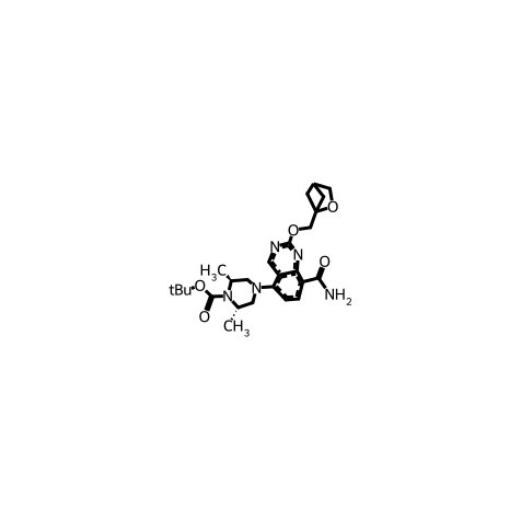 C[C@H]1CN(c2ccc(C(N)=O)c3nc(OCC45CC(CO4)C5)ncc23)C[C@H](C)N1C(=O)OC(C)(C)C